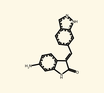 Nc1ccc2c(c1)NC(=O)/C2=C/c1ccc2cn[nH]c2c1